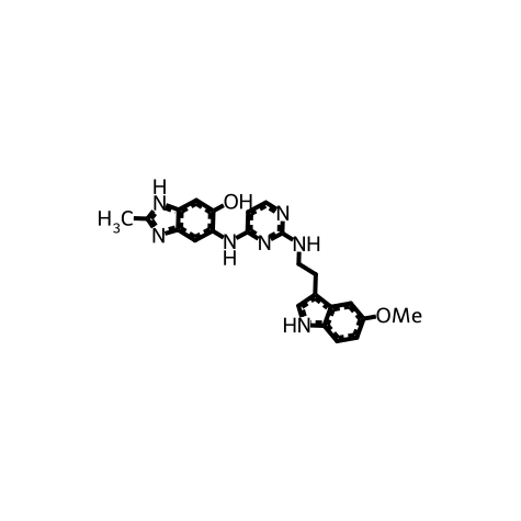 COc1ccc2[nH]cc(CCNc3nccc(Nc4cc5nc(C)[nH]c5cc4O)n3)c2c1